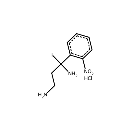 Cl.NCCC(N)(I)c1ccccc1[N+](=O)[O-]